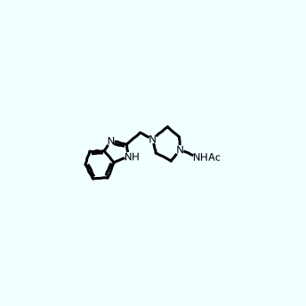 CC(=O)NN1CCN(Cc2nc3ccccc3[nH]2)CC1